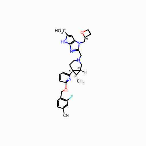 C[C@H]1[C@H]2CN(Cc3nc4[nH]c(C(=O)O)cc4n3C[C@@H]3CCO3)CC[C@]21c1cccc(OCc2ccc(C#N)cc2F)n1